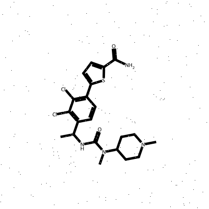 CC(NC(=O)N(C)C1CCN(C)CC1)c1ccc(-c2ccc(C(N)=O)s2)c(Cl)c1Cl